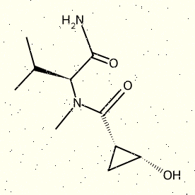 CC(C)[C@@H](C(N)=O)N(C)C(=O)[C@H]1C[C@H]1O